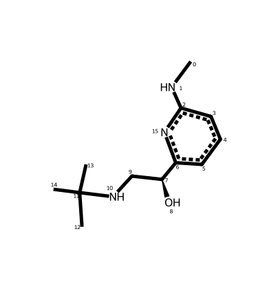 CNc1cccc([C@@H](O)CNC(C)(C)C)n1